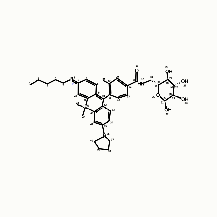 CCCCC/N=C1/C=CC2=C(c3ccc(C(=O)NC[C@H]4O[C@H](O)[C@H](O)[C@@H](O)[C@@H]4O)cc3C)c3ccc(N4CCCC4)cc3[Si](C)(C)C2=C1